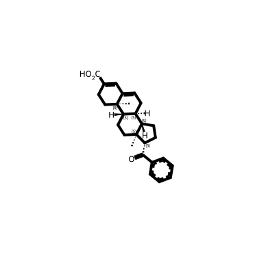 C[C@]12CC[C@H]3[C@@H](CC=C4C=C(C(=O)O)CC[C@@]43C)[C@@H]1CC[C@@H]2C(=O)c1ccccc1